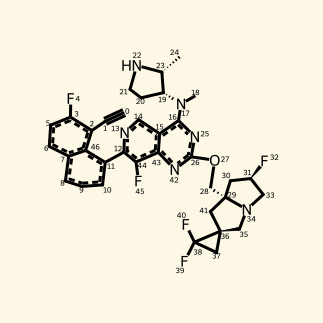 C#Cc1c(F)ccc2cccc(-c3ncc4c(N(C)[C@@H]5CCN[C@@H]5C)nc(OC[C@]56C[C@@H](F)CN5C[C@]5(CC5(F)F)C6)nc4c3F)c12